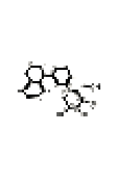 OC[C@@H]1[C@@H](O)[C@@H](O)[C@@H](O)C[SH]1c1cccc(C2CCCc3ccccc32)c1